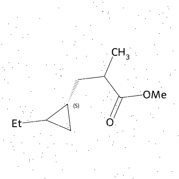 CCC1C[C@H]1CC(C)C(=O)OC